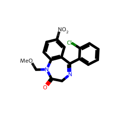 COCN1C(=O)CN=C(c2ccccc2Cl)c2cc([N+](=O)[O-])ccc21